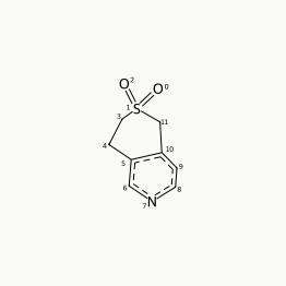 O=S1(=O)CCc2cnccc2C1